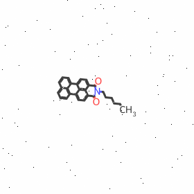 CCCCCCN1C(=O)c2ccc3c4cccc5cccc(c6ccc(c2c36)C1=O)c54